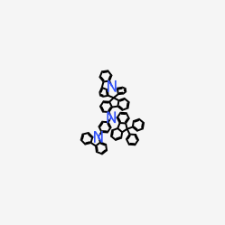 C1=CC2c3c(N(c4ccc(-n5c6ccccc6c6ccccc65)cc4)c4cccc5c4-c4ccccc4C54c5ccccc5-n5c6ccccc6c6cccc4c65)cccc3C(c3ccccc3)(c3ccccc3)C2C=C1